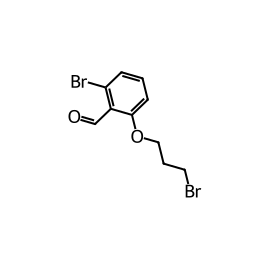 O=Cc1c(Br)cccc1OCCCBr